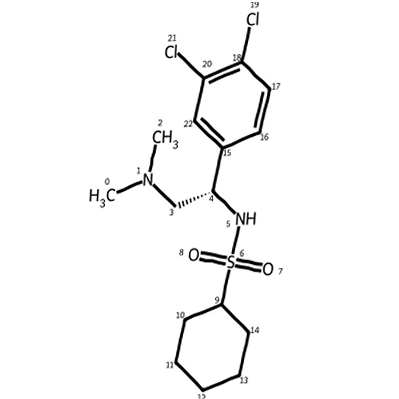 CN(C)C[C@@H](NS(=O)(=O)C1CCCCC1)c1ccc(Cl)c(Cl)c1